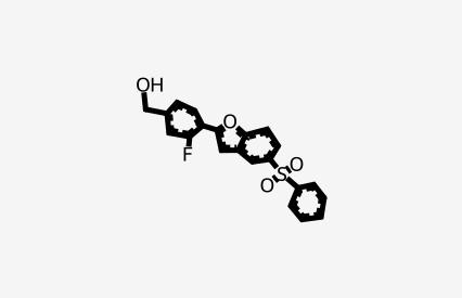 O=S(=O)(c1ccccc1)c1ccc2oc(-c3ccc(CO)cc3F)cc2c1